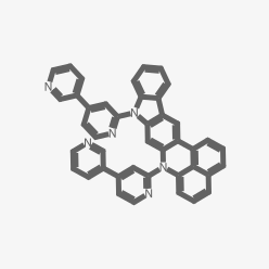 c1cncc(-c2ccnc(N3c4cc5c(cc4-c4cccc6cccc3c46)c3ccccc3n5-c3cc(-c4cccnc4)ccn3)c2)c1